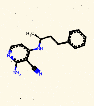 C[C@@H](CCc1ccccc1)Nc1ccnc(N)c1C#N